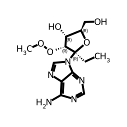 CC[C@@]1(n2cnc3c(N)ncnc32)O[C@H](CO)[C@@H](O)[C@H]1OOC